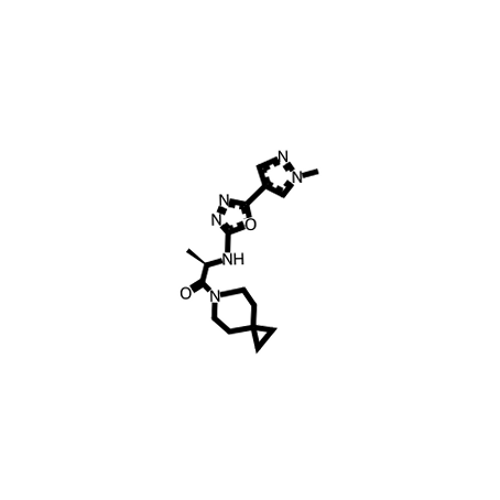 C[C@@H](Nc1nnc(-c2cnn(C)c2)o1)C(=O)N1CCC2(CC1)CC2